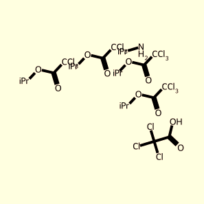 CC(C)N.CC(C)OC(=O)C(Cl)(Cl)Cl.CC(C)OC(=O)C(Cl)(Cl)Cl.CC(C)OC(=O)C(Cl)(Cl)Cl.CC(C)OC(=O)C(Cl)(Cl)Cl.O=C(O)C(Cl)(Cl)Cl